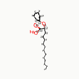 CCCCCCCCCCCCC(Oc1ccccc1)C(=O)O